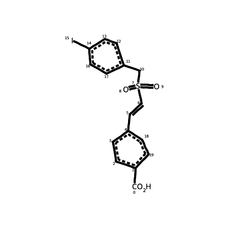 O=C(O)c1ccc(/C=C/S(=O)(=O)Cc2ccc(I)cc2)cc1